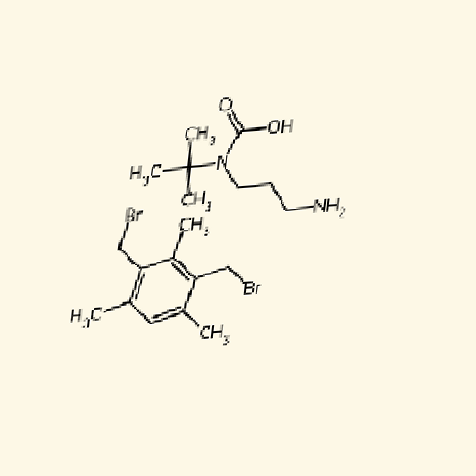 CC(C)(C)N(CCCN)C(=O)O.Cc1cc(C)c(CBr)c(C)c1CBr